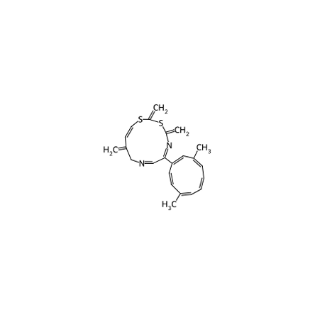 C=C1/C=C\SC(=C)SC(=C)/N=C(c2ccc(C)ccccc(C)c2)\C=N/C1